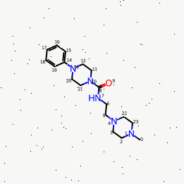 CN1CCN(CCNC(=O)N2CCN(c3ccccc3)CC2)CC1